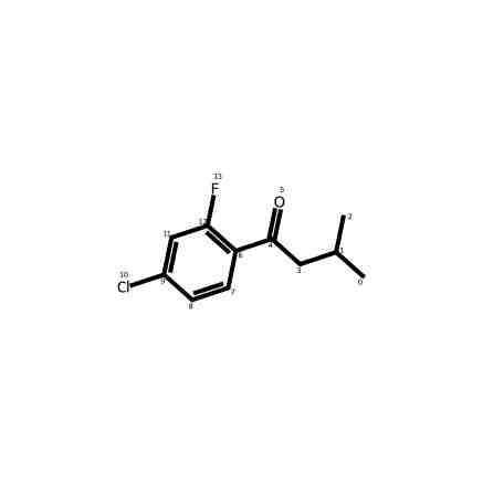 CC(C)CC(=O)c1ccc(Cl)cc1F